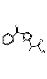 CC(C)C(=O)C(C)c1ccc(C(=O)c2ccccc2)s1